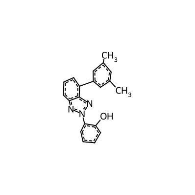 Cc1cc(C)cc(-c2cccc3nn(-c4ccccc4O)nc23)c1